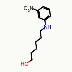 O=[N+]([O-])c1cccc(NCCCCCCO)c1